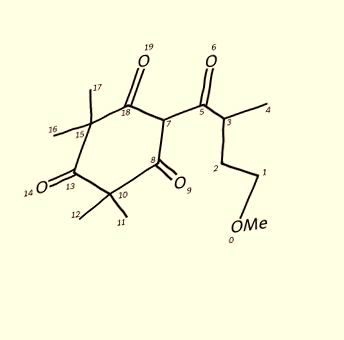 COCCC(C)C(=O)C1C(=O)C(C)(C)C(=O)C(C)(C)C1=O